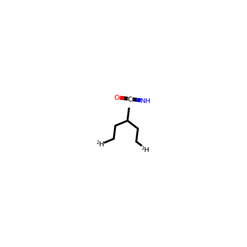 N=C=O.[2H]CCC(C)CC[2H]